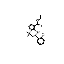 CCOC(=O)c1cnn2c1NC(c1ccccc1Cl)CC2(C)C